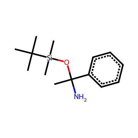 CC(N)(O[Si](C)(C)C(C)(C)C)c1ccccc1